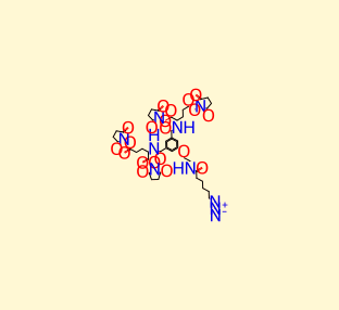 [N-]=[N+]=NCCCCCC(=O)NCCOc1cc(C(=O)NC(CCC(=O)ON2C(=O)CCC2=O)C(=O)ON2C(=O)CCC2=O)cc(C(=O)NC(CCC(=O)ON2C(=O)CCC2=O)C(=O)ON2C(=O)CCC2=O)c1